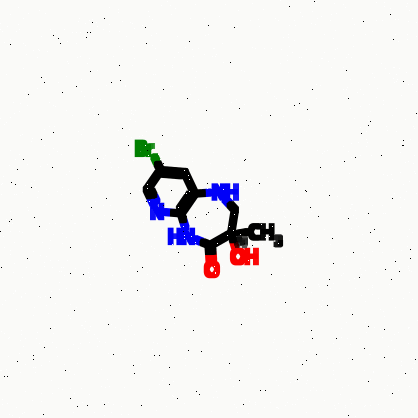 C[C@]1(O)CNc2cc(Br)cnc2NC1=O